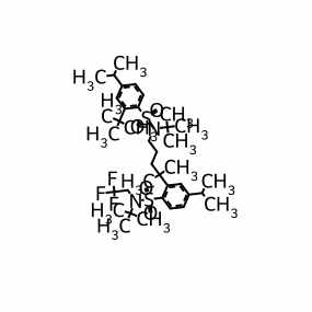 CC(C)c1ccc(S(=O)(=O)N(CCCC(C)(C)c2cc(C(C)C)ccc2S(=O)(=O)N(CC(F)(F)F)C(C)(C)C)C(C)(C)C)c(C(C)(C)C)c1